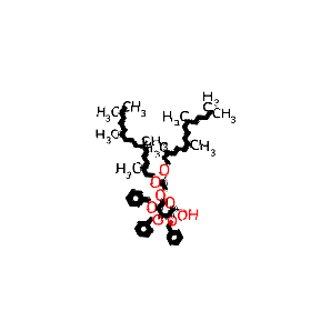 CC(C)CCC[C@@H](C)CCC[C@@H](C)CCC[C@@H](C)CCOC[C@H](CO[C@H]1O[C@H](CO)[C@@H](OCc2ccccc2)[C@H](OCc2ccccc2)[C@H]1OCc1ccccc1)OCC[C@H](C)CCC[C@H](C)CCC[C@H](C)CCCC(C)C